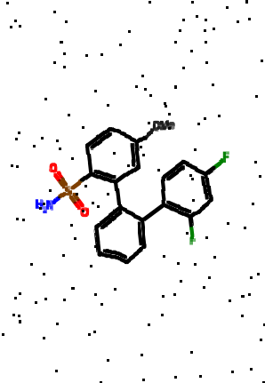 COc1ccc(S(N)(=O)=O)c(-c2ccccc2-c2ccc(F)cc2F)c1